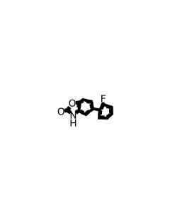 O=c1[nH]c2cc(-c3ccccc3F)ccc2o1